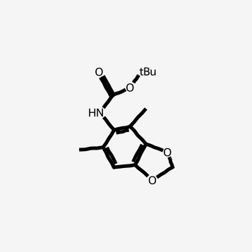 Cc1cc2c(c(C)c1NC(=O)OC(C)(C)C)OCO2